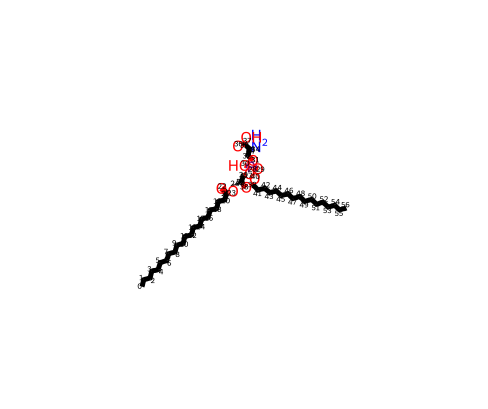 CCCCCCCCCCCCCCCCCCCCCC(=O)OC[C@H](COP(=O)(O)OC[C@H](N)C(=O)O)OC(=O)CCCCCCCCCCCCCCCC